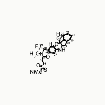 CNS(=O)(=O)CCC(=O)N(C)C(c1ccc(NC2Cc3ccccc3C2(C)C)cc1)C(F)(F)F